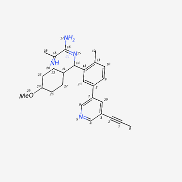 CC#Cc1cncc(-c2ccc(C)c(C(/N=C(/N)C(C)=N)C3CCC(OC)CC3)c2)c1